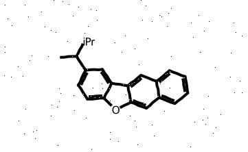 CC(C)C(C)c1ccc2oc3cc4ccccc4cc3c2c1